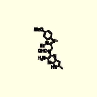 CCn1c(CN(C=O)c2nc3cc(C)[nH]c3nc2N)[n+](C)c2ccc(OC)cc21